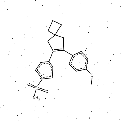 COc1ccc(C2=C(c3ccc(S(N)(=O)=O)cc3)CC3(CCC3)C2)cc1